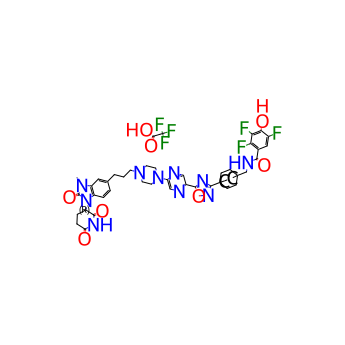 Cn1c(=O)n([C@@H]2CCC(=O)NC2=O)c2ccc(CCCN3CCN(c4cnc(-c5nc(C67CCC(CNC(=O)c8cc(F)c(O)c(F)c8F)(CC6)CC7)no5)cn4)CC3)cc21.O=C(O)C(F)(F)F